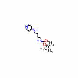 CC(C)(C)OC(=O)NCCCCNc1ccncc1